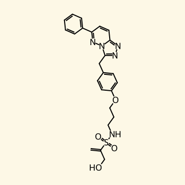 C=C(CO)S(=O)(=O)NCCCOc1ccc(Cc2nnc3ccc(-c4ccccc4)nn23)cc1